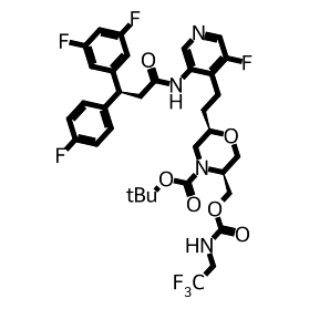 CC(C)(C)OC(=O)N1C[C@@H](CCc2c(F)cncc2NC(=O)C[C@@H](c2ccc(F)cc2)c2cc(F)cc(F)c2)OC[C@H]1COC(=O)NCC(F)(F)F